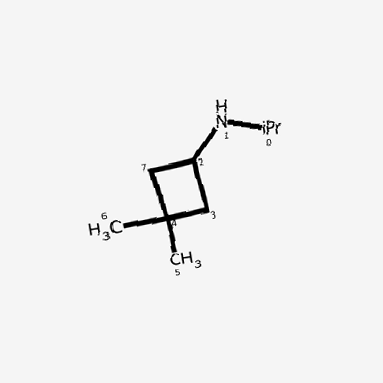 CC(C)NC1CC(C)(C)C1